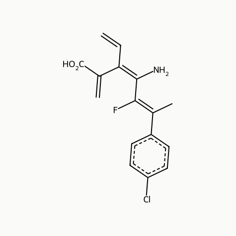 C=C/C(C(=C)C(=O)O)=C(N)/C(F)=C(\C)c1ccc(Cl)cc1